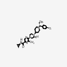 CC[C@H]1CN(c2ncc(C(=O)NC3CC3)nc2C)CCN1C1CCN([C@H](CO)c2ccc(Cl)cc2)CC1